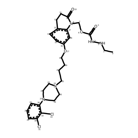 CCNNC(=O)OCN1C(=O)CCc2ccc(OCCCCN3CCN(c4cccc(Cl)c4Cl)CC3)cc21